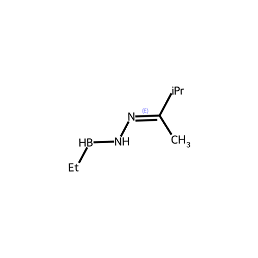 CCBN/N=C(\C)C(C)C